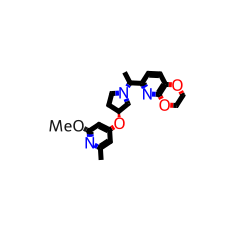 COc1cc(O[C@H]2CCN(C(C)c3ccc4c(n3)OCCO4)C2)cc(C)n1